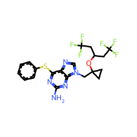 Nc1nc(Sc2ccccc2)c2ncn(CC3(OC(CC(F)(F)F)CC(F)(F)F)CC3)c2n1